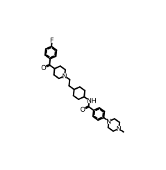 CN1CCN(c2ccc(C(=O)NC3CCC(CCN4CCC(C(=O)c5ccc(F)cc5)CC4)CC3)cc2)CC1